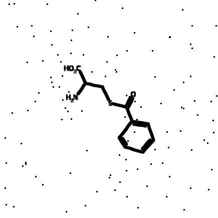 NC(CSC(=O)c1ccccc1)C(=O)O